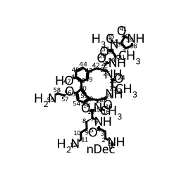 CCCCCCCCCCNCCC(=O)N[C@@H](CCCCN)C(=O)N(C)[C@@H]1C(=O)N[C@@H](C)C(=O)N[C@H](C(=O)N[C@@H](C)C(=O)N(C)[C@H]2CCNC2=O)Cc2ccc(O)c(c2)-c2cc1ccc2OCCN